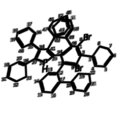 Brc1c(C2=CC=CCC2)c(Br)c(-c2ccccc2C2=CC=CCC2)c(-c2[pH]c(C3=CC=CCC3)c(-c3ccccc3)c2C2=CC=CCC2)c1C1=CC=CCC1